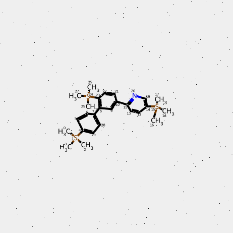 CS(C)(C)c1ccc(-c2cc(-c3ccc(S(C)(C)C)cn3)ccc2S(C)(C)C)cc1